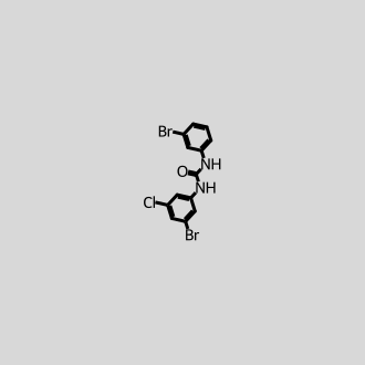 O=C(Nc1cccc(Br)c1)Nc1cc(Cl)cc(Br)c1